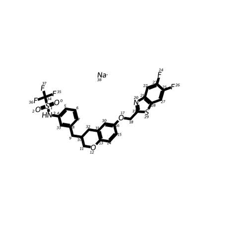 O=S(=O)(Nc1cccc(CC2COc3ccc(OCc4nc5cc(F)c(F)cc5s4)cc3C2)c1)C(F)(F)F.[Na]